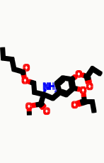 CCCCC(=O)OCC[C@@](N)(Cc1ccc(OC(=O)CC)c(OC(=O)CC)c1)C(=O)OC